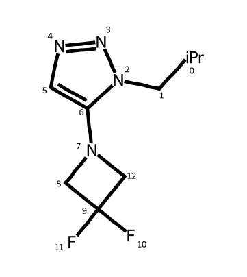 CC(C)Cn1nncc1N1CC(F)(F)C1